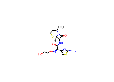 Nc1nc(/C(=N/OCCO)C(=O)NC2C(=O)N3C(C(=O)O)=CCS[C@H]23)cs1